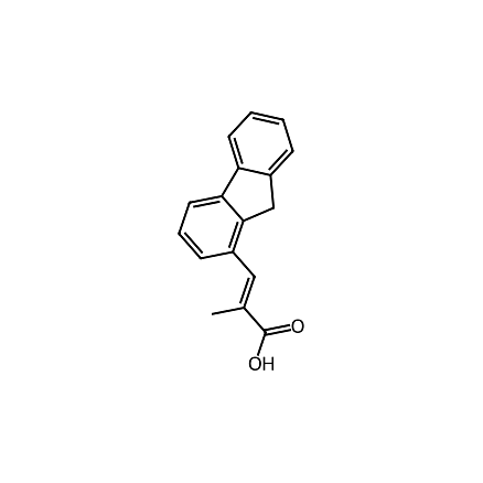 C/C(=C\c1cccc2c1Cc1ccccc1-2)C(=O)O